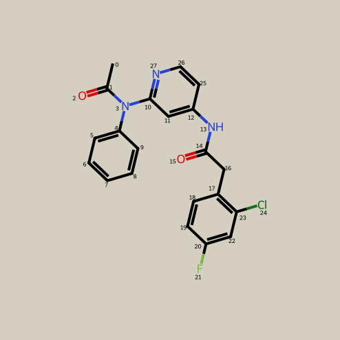 CC(=O)N(c1ccccc1)c1cc(NC(=O)Cc2ccc(F)cc2Cl)ccn1